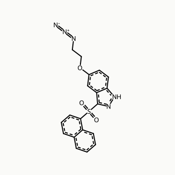 [N-]=[N+]=NCCOc1ccc2[nH]nc(S(=O)(=O)c3cccc4ccccc34)c2c1